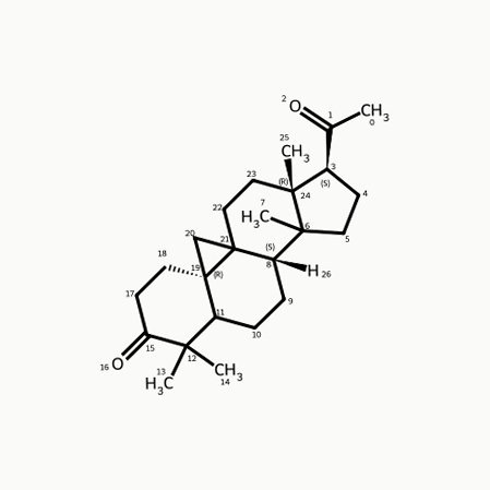 CC(=O)[C@H]1CCC2(C)[C@@H]3CCC4C(C)(C)C(=O)CC[C@@]45CC35CC[C@]12C